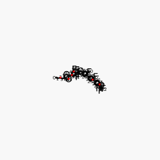 C=CCCC1COC(c2cc(F)c(C(F)(F)Oc3ccc(-c4ccc(-c5ccc(OC(F)(F)F)cc5)c(F)c4)c(F)c3)c(F)c2)OC1